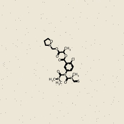 CC(OC(=O)c1cc(N(C(=O)N(C)C)C(=O)N(C)C=S)ccc1Cl)C(=O)OCN1CCCO1